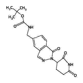 CC(C)(C)OC(=O)NCc1ccc2c(=O)n(C3CCC(=O)NC3=O)ncc2c1